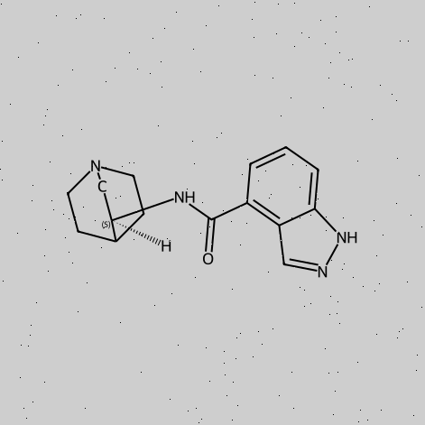 O=C(N[C@@H]1CN2CCC1CC2)c1cccc2[nH]ncc12